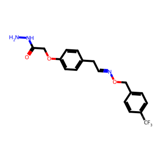 NNC(=O)COc1ccc(CC=NOCc2ccc(C(F)(F)F)cc2)cc1